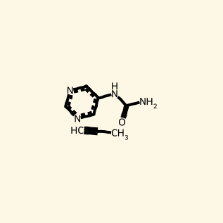 C#CC.NC(=O)Nc1cncnc1